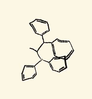 CC(C(c1ccccc1)c1ccccc1)P(c1ccccc1)c1ccccc1